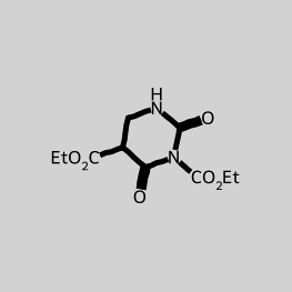 CCOC(=O)C1CNC(=O)N(C(=O)OCC)C1=O